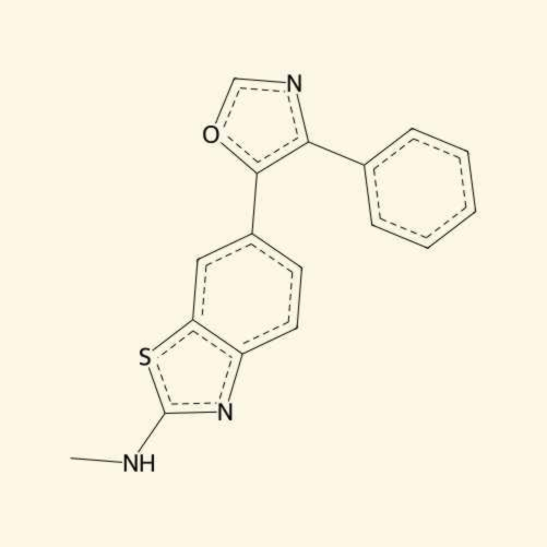 CNc1nc2ccc(-c3ocnc3-c3ccccc3)cc2s1